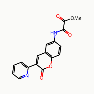 COC(=O)C(=O)Nc1ccc2oc(=O)c(-c3ccccn3)cc2c1